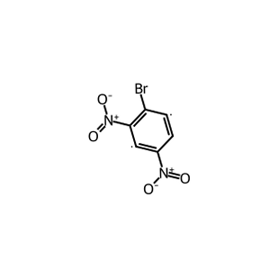 O=[N+]([O-])c1[c]c([N+](=O)[O-])c(Br)[c]c1